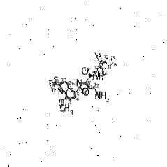 COc1ccc(-c2nc(C(=O)NCC(=O)NC3CCCC3)c(CN)o2)c2ccc(C(F)(F)F)nc12